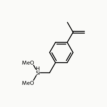 C=C(C)c1ccc(C[SiH](OC)OC)cc1